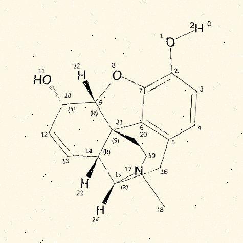 [2H]Oc1ccc2c3c1O[C@H]1[C@@H](O)C=C[C@H]4[C@@H](C2)N(C)CC[C@@]341